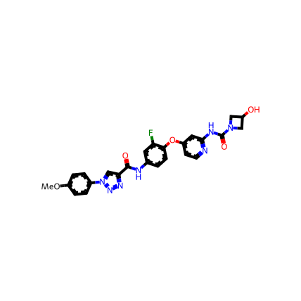 COc1ccc(-n2cc(C(=O)Nc3ccc(Oc4ccnc(NC(=O)N5CC(O)C5)c4)c(F)c3)nn2)cc1